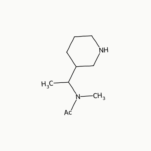 [CH2]C(=O)N(C)C(C)C1CCCNC1